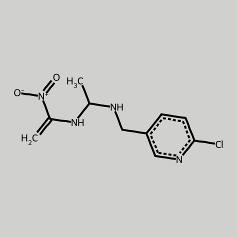 C=C(NC(C)NCc1ccc(Cl)nc1)[N+](=O)[O-]